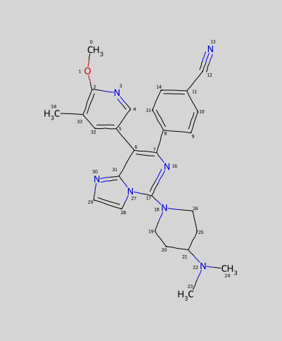 COc1ncc(-c2c(-c3ccc(C#N)cc3)nc(N3CCC(N(C)C)CC3)n3ccnc23)cc1C